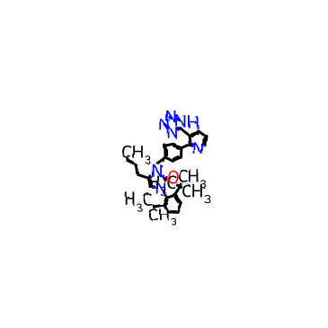 CCCCc1cn(-c2c(C(C)C)cccc2C(C)(C)C)c(=O)n1Cc1ccc(-c2ncccc2-c2nnn[nH]2)cc1